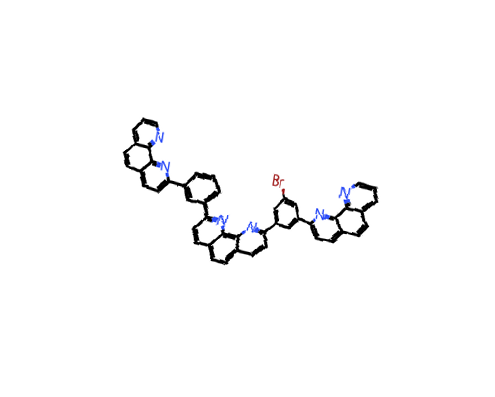 Brc1cc(-c2ccc3ccc4cccnc4c3n2)cc(-c2ccc3ccc4ccc(-c5cccc(-c6ccc7ccc8cccnc8c7n6)c5)nc4c3n2)c1